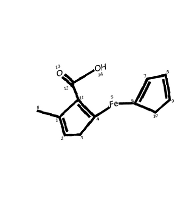 CC1=CC[C]([Fe][C]2=CC=CC2)=C1C(=O)O